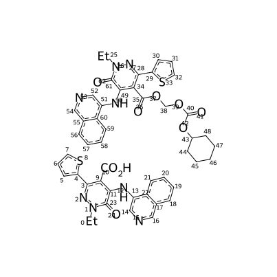 CCn1nc(-c2cccs2)c(C(=O)O)c(Nc2cncc3ccccc23)c1=O.CCn1nc(-c2cccs2)c(C(=O)OCOC(=O)OC2CCCCC2)c(Nc2cncc3ccccc23)c1=O